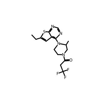 CCc1cc2c(N3CCN(C(=O)CC(F)(F)F)CC3C)ncnc2s1